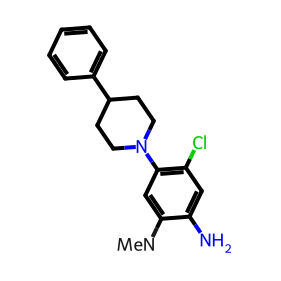 CNc1cc(N2CCC(c3ccccc3)CC2)c(Cl)cc1N